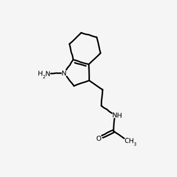 CC(=O)NCCC1CN(N)C2=C1CCCC2